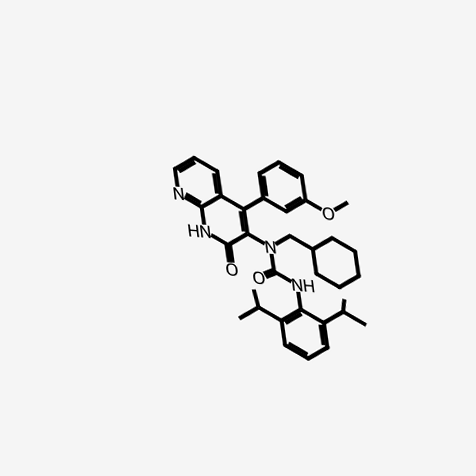 COc1cccc(-c2c(N(CC3CCCCC3)C(=O)Nc3c(C(C)C)cccc3C(C)C)c(=O)[nH]c3ncccc23)c1